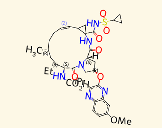 CC[C@@H]1C[C@H](C)CC/C=C\C2CC2(C(=O)NS(=O)(=O)C2CC2)NC(=O)[C@@H]2C[C@@H](Oc3nc4cc(OC)ccc4nc3C(C)C)CN2C(=O)[C@H]1NC(=O)O